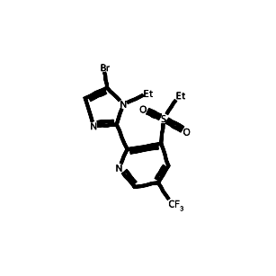 CCn1c(Br)cnc1-c1ncc(C(F)(F)F)cc1S(=O)(=O)CC